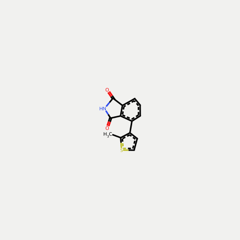 Cc1sccc1-c1cccc2c1C(=O)NC2=O